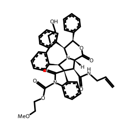 C=CCNC(=O)[C@@H]1[C@H]2C(=O)O[C@H](c3ccccc3)[C@H](c3ccccc3)N2[C@H](c2ccccc2OCCO)[C@@]12C(=O)N(C(=O)OCCOC)c1ccccc12